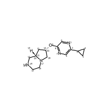 c1nc(C2CC2)cnc1O[C@H]1C[C@H]2CNCCN2C1